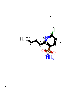 CCCCc1nc(Cl)ccc1S(N)(=O)=O